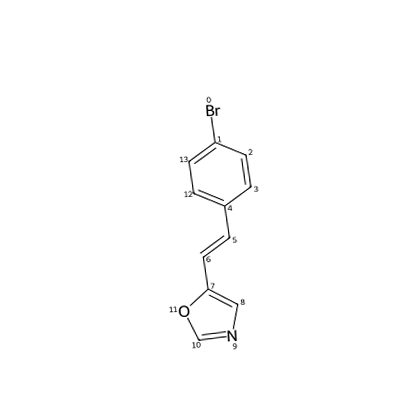 Brc1ccc(/C=C/c2cnco2)cc1